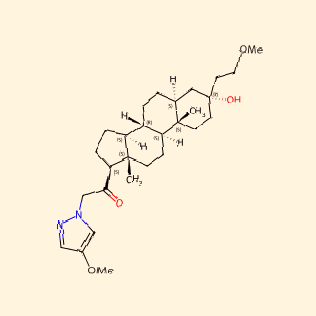 COCC[C@@]1(O)CC[C@@]2(C)[C@@H](CC[C@@H]3[C@@H]2CC[C@]2(C)[C@@H](C(=O)Cn4cc(OC)cn4)CC[C@@H]32)C1